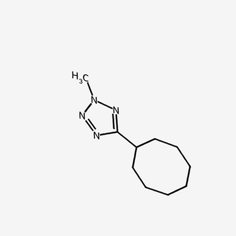 Cn1nnc(C2CCCCCCC2)n1